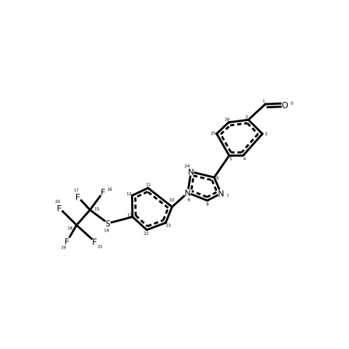 O=Cc1ccc(-c2ncn(-c3ccc(SC(F)(F)C(F)(F)F)cc3)n2)cc1